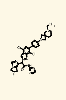 CCN1CCCC2(C1)CN(c1ccc(-c3cc(Cl)c4cn(C(C(=O)Nc5nccs5)c5ncn6c5C[C@@H](F)C6)nc4c3Cl)cc1)C2